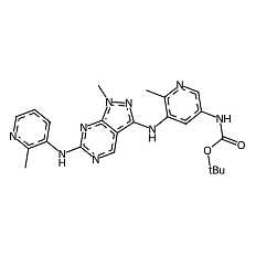 Cc1ncccc1Nc1ncc2c(Nc3cc(NC(=O)OC(C)(C)C)cnc3C)nn(C)c2n1